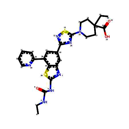 CCNC(=O)Nc1nc2cc(-c3nsc(N4CCC(CC)(C(=O)O)CC4)n3)cc(-c3ccccn3)c2s1